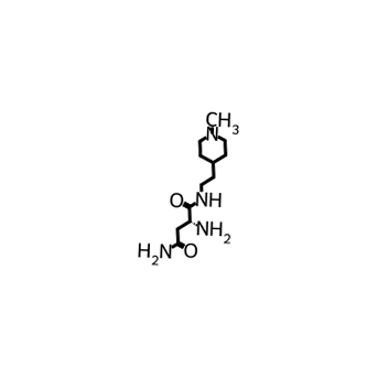 CN1CCC(CCNC(=O)[C@H](N)CC(N)=O)CC1